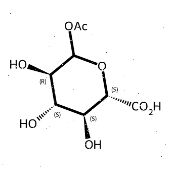 CC(=O)OC1O[C@H](C(=O)O)[C@@H](O)[C@H](O)[C@H]1O